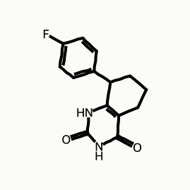 O=c1[nH]c2c(c(=O)[nH]1)CCCC2c1ccc(F)cc1